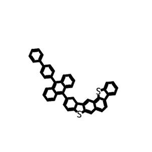 C1=C(c2c3ccccc3c(-c3ccc(-c4ccccc4)cc3)c3ccccc23)CC2C(=C1)Sc1cc3ccc4c5ccccc5sc4c3cc12